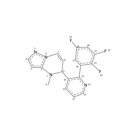 CN1c2ccnn2C=CC1c1cccnc1-c1cc(F)cc(F)c1F